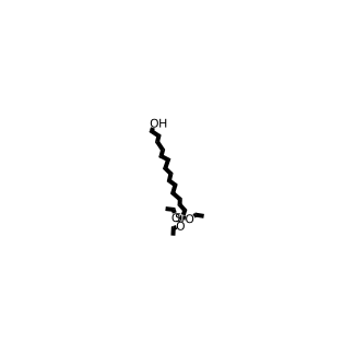 CCO[Si](CCCCCCCCCCCCCCO)(OCC)OCC